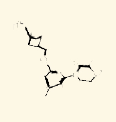 OC1CC(COc2cc(I)cc(N3CCOCC3)n2)C1